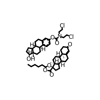 CCCCCC(=O)O[C@]1(C(C)=O)CC[C@H]2[C@@H]3CCC4=CC(=O)CC[C@]4(C)[C@H]3CC[C@@]21C.C[C@]12CC[C@@H]3c4ccc(OC(=O)N(CCCl)CCCl)cc4CC[C@H]3[C@@H]1CC[C@@H]2O